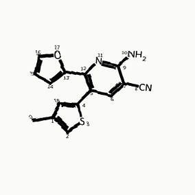 Cc1csc(-c2cc(C#N)c(N)nc2-c2ccco2)c1